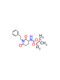 CC(C)(C)OC(=O)NC1CCC(=O)N(CCc2ccccc2)C1=O